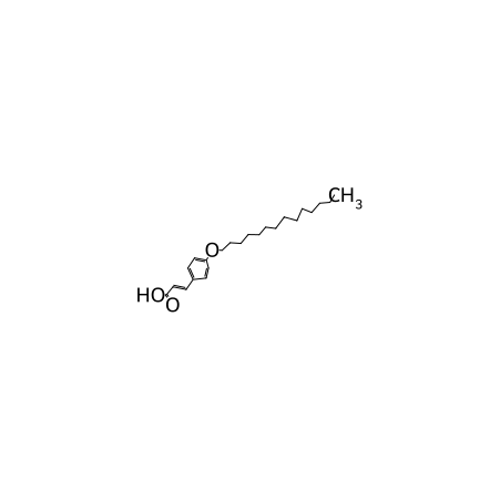 CCCCCCCCCCCCCCOc1ccc(C=CC(=O)O)cc1